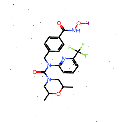 CC1CN(C(=O)N(Cc2ccc(C(=O)NOI)cc2)c2cccc(C(F)(F)F)n2)CC(C)O1